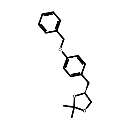 CC1(C)OC[C@H](Cc2ccc(OCc3ccccc3)cc2)O1